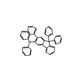 c1ccc(-c2cc3c(cc2N(c2ccccc2)c2ccccc2)-c2ccccc2C3(c2ccccc2)c2ccccc2)cc1